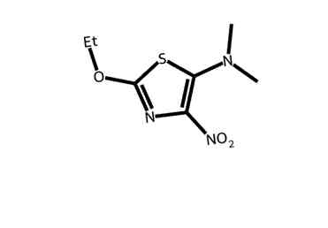 CCOc1nc([N+](=O)[O-])c(N(C)C)s1